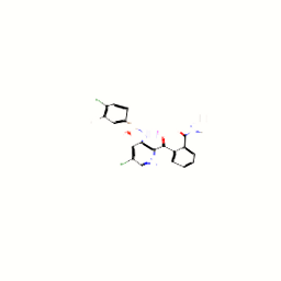 Cc1cc(S(=O)(=O)Nc2cc(Cl)cnc2C(=O)c2ccccc2C(=O)N(C)C)ccc1Cl